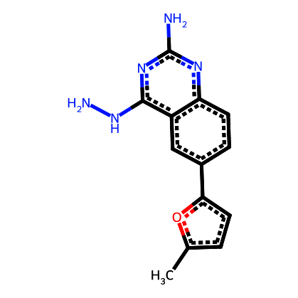 Cc1ccc(-c2ccc3nc(N)nc(NN)c3c2)o1